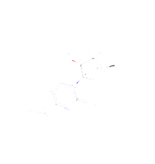 CC1(O)[C@H](O)[C@H](n2ccc(NO)nc2=O)O[C@@H]1CO